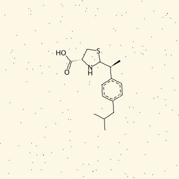 CC(C)Cc1ccc([C@H](C)C2N[C@H](C(=O)O)CS2)cc1